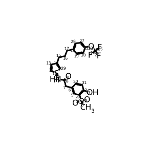 CS(=O)(=O)c1cc(CC(=O)N[SH]2C=CC(CCCc3ccc(OC(F)(F)F)cc3)=C2)ccc1O